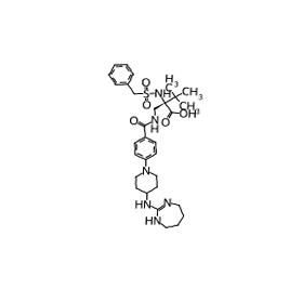 CC(C)(C)[C@@](CNC(=O)c1ccc(N2CCC(NC3=NCCCCN3)CC2)cc1)(NS(=O)(=O)Cc1ccccc1)C(=O)O